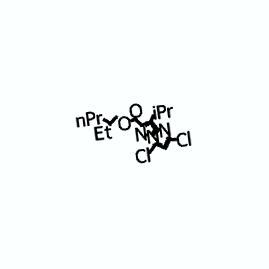 CCCC(CC)COC(=O)c1nn2c(Cl)cc(Cl)nc2c1C(C)C